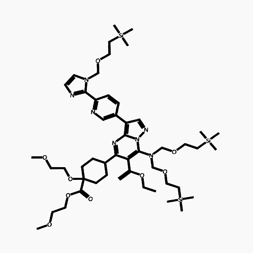 C=C(OCC)c1c(C2CCC(OCCOC)(C(=O)OCCOC)CC2)nc2c(-c3ccc(-c4nccn4COCC[Si](C)(C)C)nc3)cnn2c1N(COCC[Si](C)(C)C)COCC[Si](C)(C)C